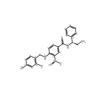 CC[C@@H](NC(=O)c1ccc(NCc2ccc(Cl)cc2Cl)c([N+](=O)[O-])c1)c1ccccc1